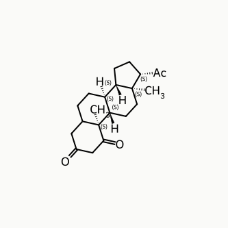 CC(=O)[C@H]1CC[C@H]2[C@@H]3CCC4CC(=O)CC(=O)[C@]4(C)[C@H]3CC[C@]12C